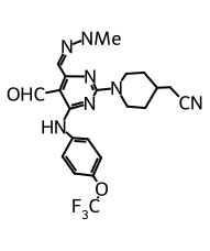 CN/N=C\c1nc(N2CCC(CC#N)CC2)nc(Nc2ccc(OC(F)(F)F)cc2)c1C=O